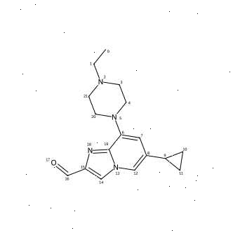 CCN1CCN(c2cc(C3CC3)cn3cc(C=O)nc23)CC1